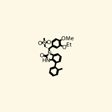 CCOc1cc([C@@H](CS(C)(=O)=O)n2c(=O)[nH]c3c(-c4ccccc4C)cccc32)ccc1OC